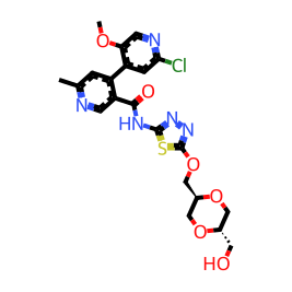 COc1cnc(Cl)cc1-c1cc(C)ncc1C(=O)Nc1nnc(OC[C@@H]2CO[C@@H](CO)CO2)s1